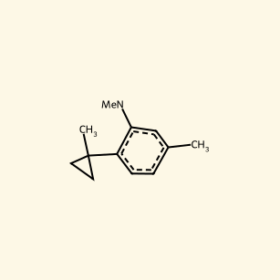 CNc1cc(C)ccc1C1(C)CC1